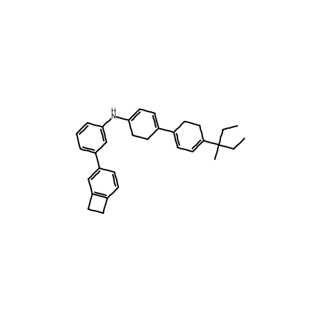 CCC(C)(CC)C1=CC=C(C2=CC=C(Nc3cccc(-c4ccc5c(c4)CC5)c3)CC2)CC1